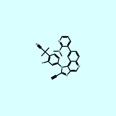 C#Cc1nc2cnc3ccc(-c4cccnc4N(C)C)cc3c2n1-c1ccc(C(C)(C)C#N)c(F)c1